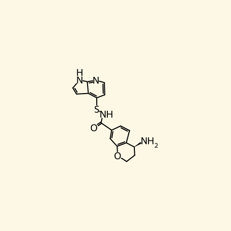 N[C@H]1CCOc2cc(C(=O)NSc3ccnc4[nH]ccc34)ccc21